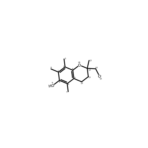 Cc1c(C)c2c(c(C)c1O)CCC(C)(C[O])O2